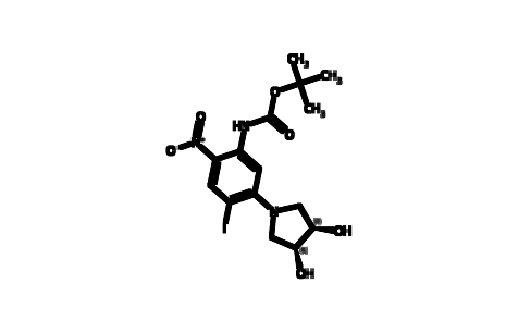 CC(C)(C)OC(=O)Nc1cc(N2C[C@@H](O)[C@@H](O)C2)c(I)cc1[N+](=O)[O-]